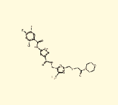 Cc1nc(COCC(=O)N2CCOCC2)oc1CNC(=O)c1cc(NC(=O)c2cc(F)c(F)cc2Cl)[nH]n1